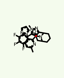 Cc1ccc(-n2cccn2)c(C(=O)N2C3CCCC2c2nn(C)c(-c4cc(F)c(F)c(F)c4)c2C3)n1